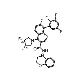 O=C(NN1CCOc2ccccc21)c1cnc2c(-c3cc(F)cc(F)c3F)c(F)ccc2c1N1C[C@@H](F)[C@H](F)C1